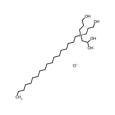 CCCCCCCCCCCCCCCCCC[N+](CCCO)(CCCO)CC(O)O.[Cl-]